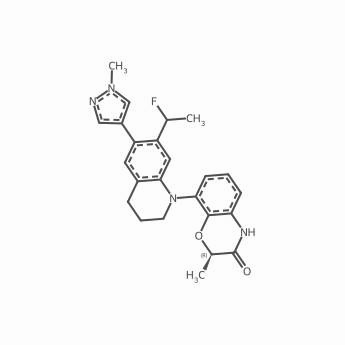 CC(F)c1cc2c(cc1-c1cnn(C)c1)CCCN2c1cccc2c1O[C@H](C)C(=O)N2